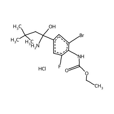 CCOC(=O)Nc1c(F)cc(C(N)(O)CC(C)(C)C)cc1Br.Cl